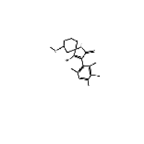 COC1CCCC2(C1)NC(=O)C(c1c(C)cc(C)c(C)c1C)=C2O